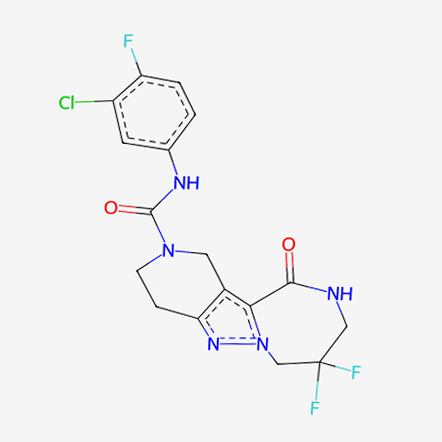 O=C1NCC(F)(F)Cn2nc3c(c21)CN(C(=O)Nc1ccc(F)c(Cl)c1)CC3